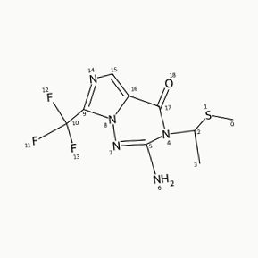 CSC(C)n1c(N)nn2c(C(F)(F)F)ncc2c1=O